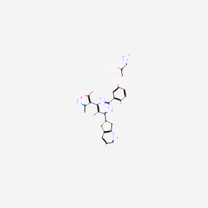 CNC[C@@H](O)COc1ccc(F)c(-c2nc(-c3c(C)noc3C)c(C)c(C3Cc4cc(F)cnc4C3)n2)c1